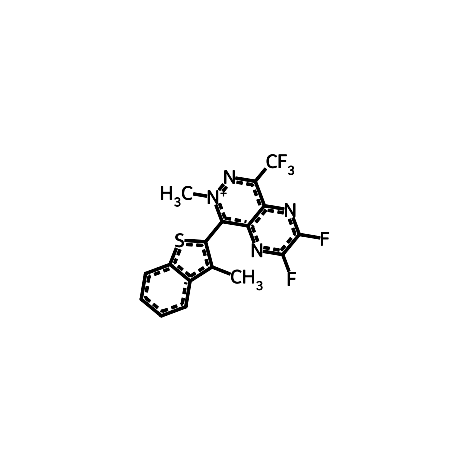 Cc1c(-c2c3nc(F)c(F)nc3c(C(F)(F)F)n[n+]2C)sc2ccccc12